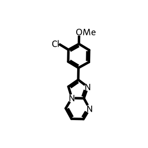 COc1ccc(-c2cn3cccnc3n2)cc1Cl